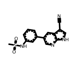 CS(=O)(=O)Nc1cccc(-c2cnc3[nH]cc(C#N)c3c2)c1